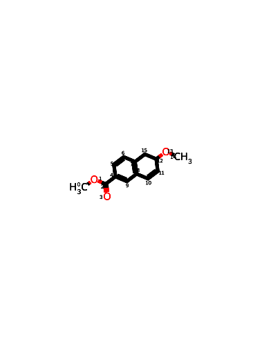 COC(=O)c1ccc2c(c1)C=CC(OC)C2